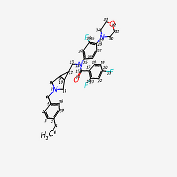 CCc1ccc(CN2CC3C(C2)C3CN(C(=O)c2ccc(F)cc2F)c2ccc(N3CCOCC3)c(F)c2)cc1